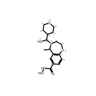 CC1c2cc(C(=O)NO)ccc2OCCN1C(O)C1CCOCC1